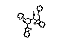 N#CC(CC(CCc1ccccn1)C(C#N)c1[nH]c2ccccc2c1CCc1ccccn1)c1cc2ccccc2[nH]1